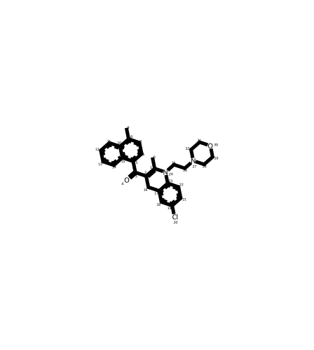 CC1=C(C(=O)c2ccc(C)c3ccccc23)Cc2cc(Cl)ccc2N1CCN1CCOCC1